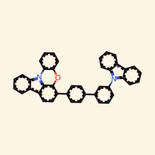 c1cc(-c2ccc(-c3ccc4c5ccccc5n5c4c3Oc3ccccc3-5)cc2)cc(-n2c3ccccc3c3ccccc32)c1